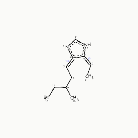 C/C=c1/[nH]cn/c1=C/CC(C)CC(C)C